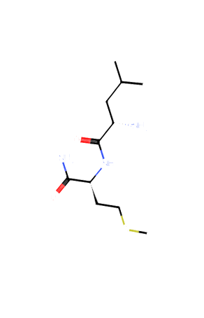 CSCC[C@H](NC(=O)[C@@H](N)CC(C)C)C(N)=O